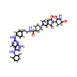 Cc1cccc(C)c1Nc1nn(C)c2nc(Nc3ccc(CCNC(=O)C4CCN(c5ccc6c(c5)C(=O)N(C5CCC(=O)NC5=O)C6=O)CC4)cc3)ncc12